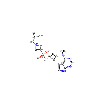 CN(c1ncnc2[nH]ccc12)[C@H]1C[C@@H](CS(=O)(=O)C2CN(CC(F)F)C2)C1